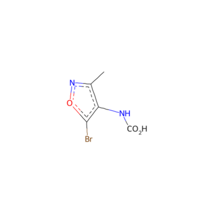 Cc1noc(Br)c1NC(=O)O